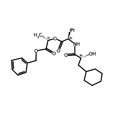 CC(C)[C@@H](NC(=O)[C@H](O)CC1CCCCC1)C(=O)O[C@@H](C)C(=O)OCc1ccccc1